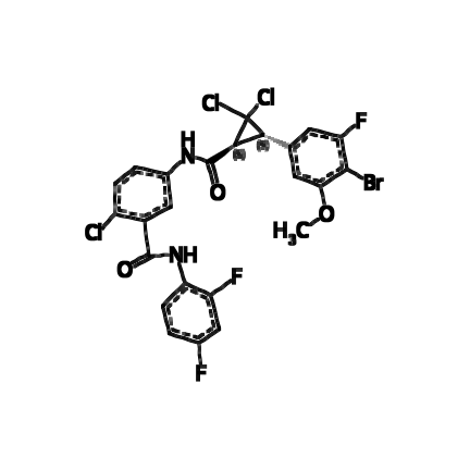 COc1cc([C@@H]2[C@@H](C(=O)Nc3ccc(Cl)c(C(=O)Nc4ccc(F)cc4F)c3)C2(Cl)Cl)cc(F)c1Br